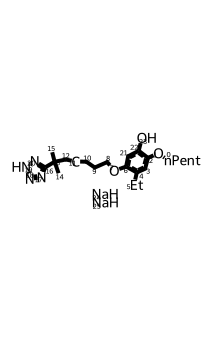 CCCCCOc1cc(CC)c(OCCCCCC(C)(C)c2nn[nH]n2)cc1O.[NaH].[NaH]